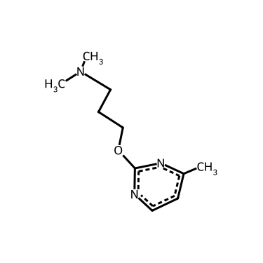 Cc1ccnc(OCCCN(C)C)n1